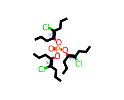 CCC/C(Cl)=C(/CCC)OP(=O)(O/C(CCC)=C(/Cl)CCC)O/C(CCC)=C(/Cl)CCC